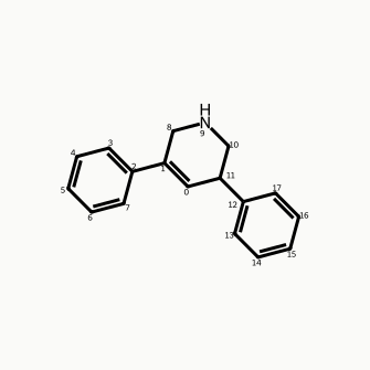 C1=C(c2ccccc2)CNCC1c1ccccc1